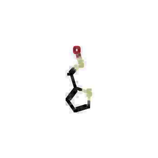 O=S=[C]c1cccs1